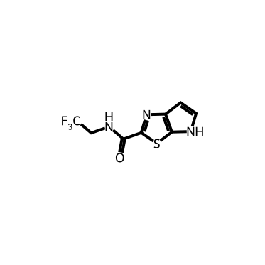 O=C(NCC(F)(F)F)c1nc2cc[nH]c2s1